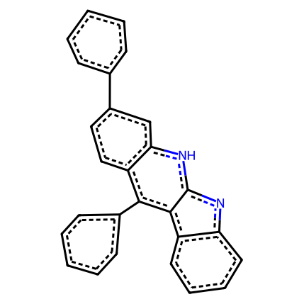 c1ccc(-c2ccc3c(-c4ccccc4)c4c5ccccc5nc-4[nH]c3c2)cc1